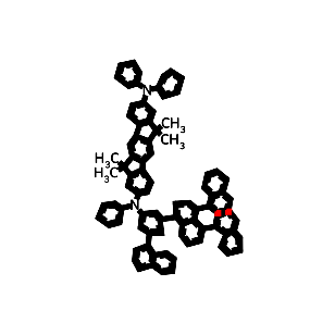 CC1(C)c2cc(N(c3ccccc3)c3ccccc3)ccc2-c2cc3c(cc21)-c1ccc(N(c2ccccc2)c2cc(-c4cccc5ccccc45)cc(-c4ccc(-c5cccc6ccccc56)c5c(-c6cccc7ccccc67)cccc45)c2)cc1C3(C)C